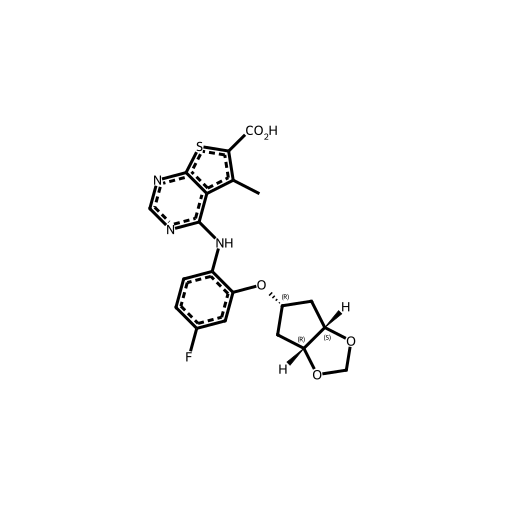 Cc1c(C(=O)O)sc2ncnc(Nc3ccc(F)cc3O[C@@H]3C[C@@H]4OCO[C@@H]4C3)c12